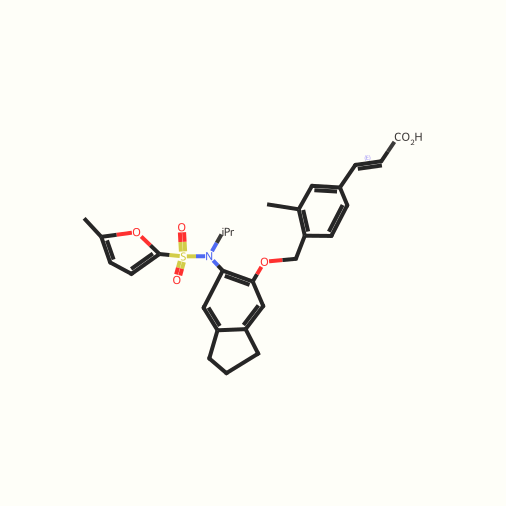 Cc1ccc(S(=O)(=O)N(c2cc3c(cc2OCc2ccc(/C=C/C(=O)O)cc2C)CCC3)C(C)C)o1